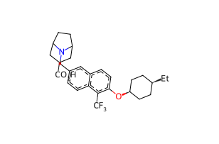 CC[C@H]1CC[C@@H](Oc2ccc3cc(CN4C5CCC4CC(C(=O)O)C5)ccc3c2C(F)(F)F)CC1